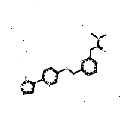 CN(C)C(=O)Cc1cccc(COc2ccc(-c3ccn[nH]3)nc2)c1